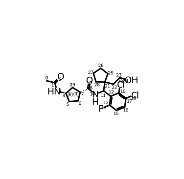 CC(=O)N[C@@H]1CC[C@@H](C(=O)NC(c2c(F)ccc(Cl)c2Cl)C2(CCO)CCCC2)C1